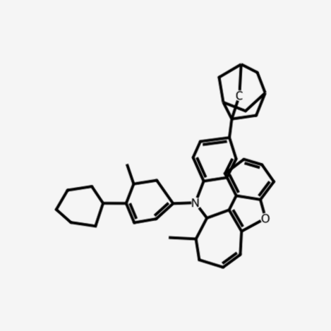 CC1CC(N(c2ccc(C34CC5CC(CC3C5)C4)cc2)C2c3c(oc4ccccc34)C=CCC2C)=CC=C1C1CCCCC1